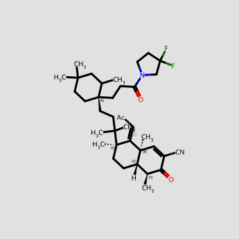 CC(=O)/C=C1/[C@@]2(C)C=C(C#N)C(=O)[C@@H](C)[C@@H]2CC[C@@]1(C)C(C)(C)CC[C@@]1(CCC(=O)N2CCC(F)(F)C2)CCC(C)(C)CC1C